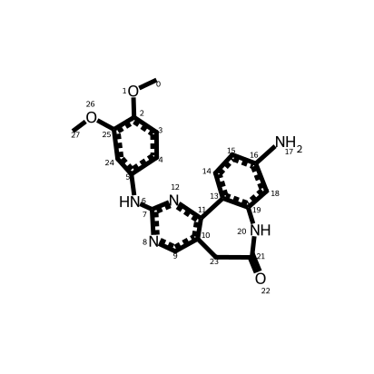 COc1ccc(Nc2ncc3c(n2)-c2ccc(N)cc2NC(=O)C3)cc1OC